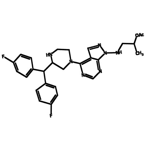 CC(=O)OC(C)CNn1ncc2c(N3CCNC(C(c4ccc(F)cc4)c4ccc(F)cc4)C3)ncnc21